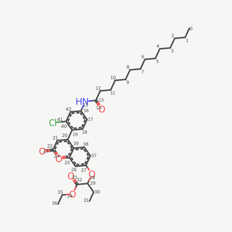 CCCCCCCCCCCCCC(=O)Nc1ccc(-c2cc(=O)oc3cc(OC(CC)C(=O)OCC)ccc23)c(Cl)c1